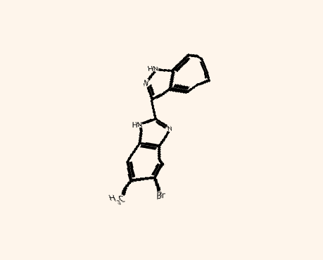 Cc1cc2[nH]c(-c3n[nH]c4ccccc34)nc2cc1Br